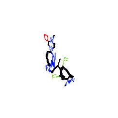 CC(c1c(F)cc2c(cnn2C)c1F)c1cnc2ccc(N3CCN(C)C(=O)C3)nn12